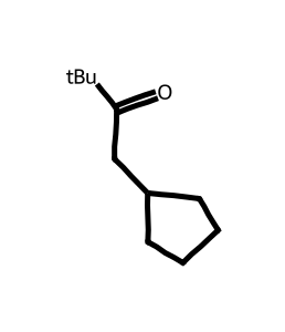 CC(C)(C)C(=O)CC1CCCC1